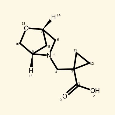 O=C(O)C1(CN2C[C@@H]3C[C@H]2CO3)CC1